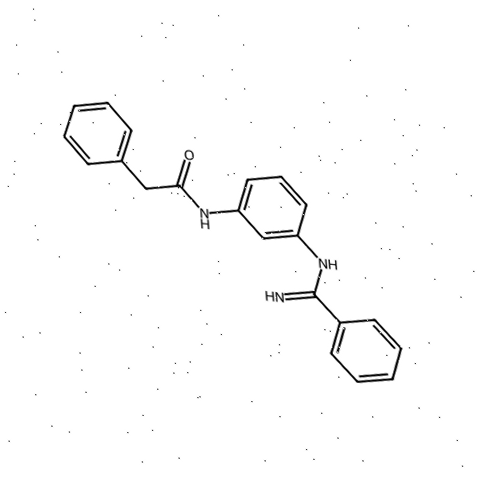 N=C(Nc1cccc(NC(=O)Cc2ccccc2)c1)c1ccccc1